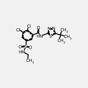 CCNS(=O)(=O)c1cc(Cl)c(Cl)c(C(=O)Nc2nnc(C(C)(C)C)s2)c1